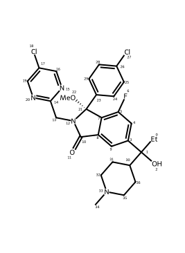 CCC(O)(c1cc(F)c2c(c1)C(=O)N(Cc1ncc(Cl)cn1)[C@@]2(OC)c1ccc(Cl)cc1)C1CCN(C)CC1